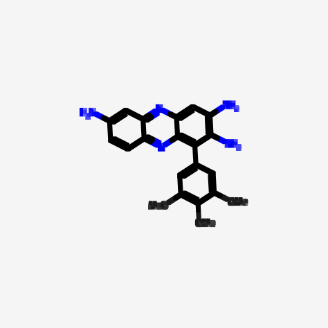 COc1cc(-c2c(N)c(N)cc3nc4cc(N)ccc4nc23)cc(OC)c1OC